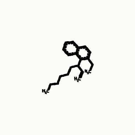 C=CC(CCCCCC)c1c(CC)ccc2ccccc12